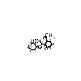 COc1cccc(F)c1C(CO)OC1CCOCC1